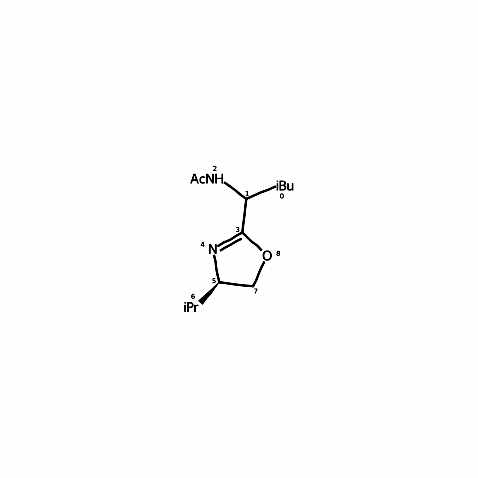 CCC(C)C(NC(C)=O)C1=N[C@H](C(C)C)CO1